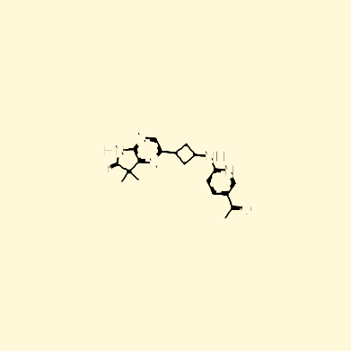 CC(=O)c1ccc(NC2CC(c3cnc4c(n3)C(C)(C)C(=O)N4)C2)nc1